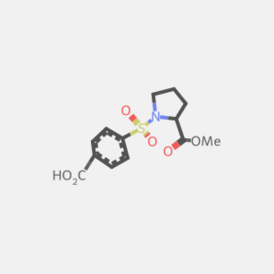 COC(=O)C1CCCN1S(=O)(=O)c1ccc(C(=O)O)cc1